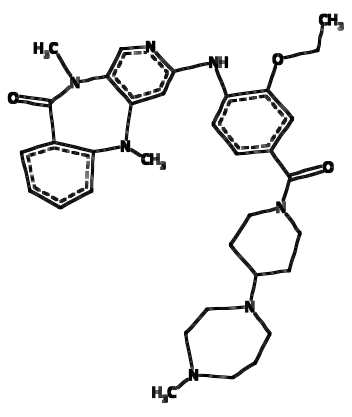 CCOc1cc(C(=O)N2CCC(N3CCCN(C)CC3)CC2)ccc1Nc1cc2c(cn1)N(C)C(=O)c1ccccc1N2C